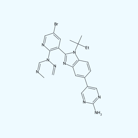 C=NN(/C=N\C)c1ncc(Br)cc1-c1nc2cc(-c3cnc(N)nc3)ccc2n1C(C)(C)CC